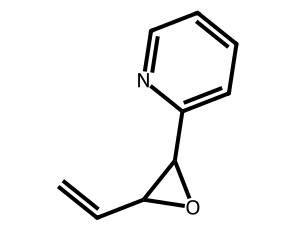 C=CC1OC1c1ccccn1